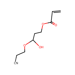 C=CC(=O)OCCC(O)OCCC#N